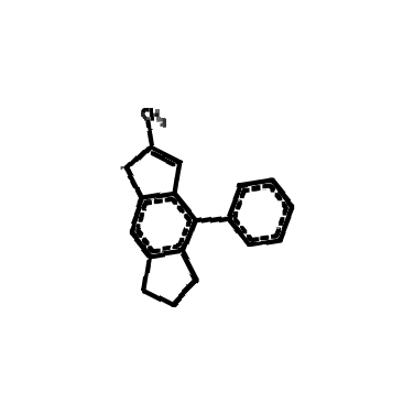 CC1=Cc2c(cc3c(c2-c2ccccc2)CCC3)[CH]1